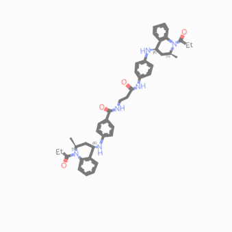 CCC(=O)N1c2ccccc2[C@H](Nc2ccc(NC(=O)CCNC(=O)c3ccc(N[C@@H]4C[C@H](C)N(C(=O)CC)c5ccccc54)cc3)cc2)C[C@@H]1C